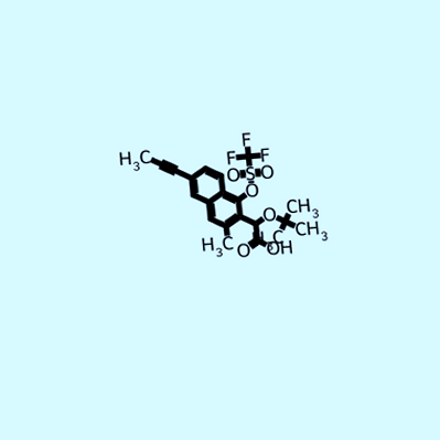 CC#Cc1ccc2c(OS(=O)(=O)C(F)(F)F)c(C(OC(C)(C)C)C(=O)O)c(C)cc2c1